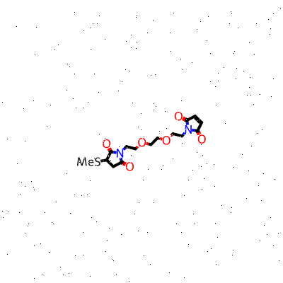 CSC1CC(=O)N(CCOCCOCCN2C(=O)C=CC2=O)C1=O